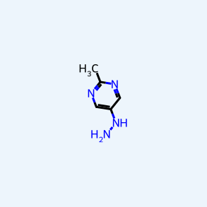 Cc1ncc(NN)cn1